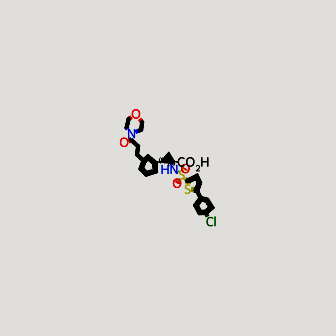 O=C(CCc1cccc([C@@H]2C[C@]2(NS(=O)(=O)c2ccc(-c3ccc(Cl)cc3)s2)C(=O)O)c1)N1CCOCC1